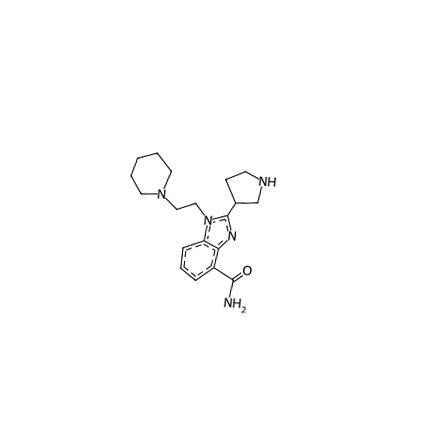 NC(=O)c1cccc2c1nc(C1CCNC1)n2CCN1CCCCC1